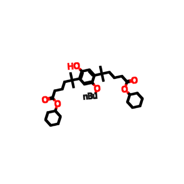 CCCCOc1cc(C(C)(C)CCCC(=O)OC2CCCCC2)c(O)cc1C(C)(C)CCCC(=O)OC1CCCCC1